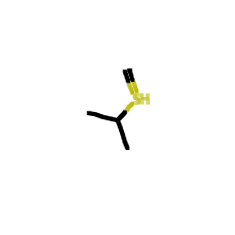 [CH]=[SH]C(C)C